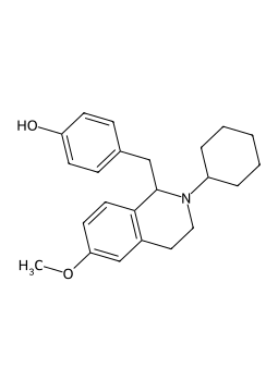 COc1ccc2c(c1)CCN(C1CCCCC1)C2Cc1ccc(O)cc1